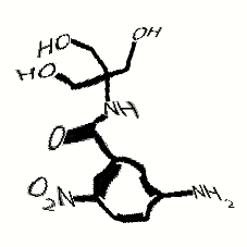 Nc1ccc([N+](=O)[O-])c(C(=O)NC(CO)(CO)CO)c1